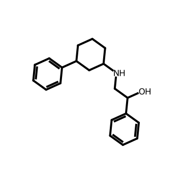 OC(CNC1CCCC(c2ccccc2)C1)c1ccccc1